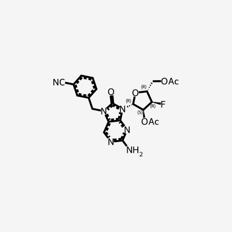 CC(=O)OC[C@H]1O[C@@H](n2c(=O)n(Cc3cccc(C#N)c3)c3cnc(N)nc32)[C@H](OC(C)=O)[C@@H]1F